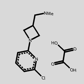 CNCC1CN(c2cccc(Cl)n2)C1.O=C(O)C(=O)O